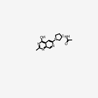 CC(=O)N[C@H]1CCN(c2cc3c(O)nc(C)nc3cn2)C1